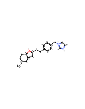 N#Cc1ccc2oc(CCc3ccc(Cn4ccnc4)cc3)cc2c1